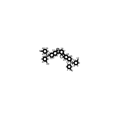 Cc1cccc(N(c2cccc(C)c2)c2ccc3cc4c(cc3c2)oc2c4ccc3oc4cc5cc(N(c6cccc(C)c6)c6cccc(C)c6)ccc5cc4c32)c1